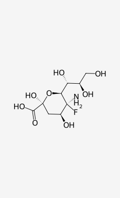 N[C@]1(F)[C@@H](O)C[C@@](O)(C(=O)O)O[C@H]1[C@H](O)[C@H](O)CO